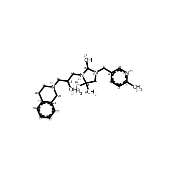 Cc1ccc(CN2CC(C)(C)N(CC(O)CN3CCc4ccccc4C3)C2O)cn1